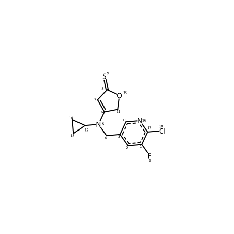 Fc1cc(CN(C2=CC(=S)OC2)C2CC2)cnc1Cl